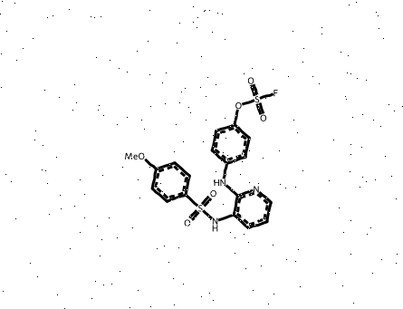 COc1ccc(S(=O)(=O)Nc2cccnc2Nc2ccc(OS(=O)(=O)F)cc2)cc1